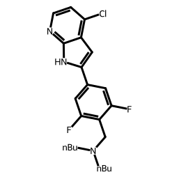 CCCCN(CCCC)Cc1c(F)cc(-c2cc3c(Cl)ccnc3[nH]2)cc1F